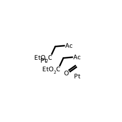 C=O.CCOC(=O)CC(C)=O.CCOC(=O)CC(C)=O.[Pt].[Pt]